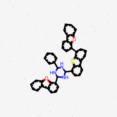 c1ccc(C2NC(c3cccc4c3oc3ccccc34)NC(c3cccc4c3sc3c(-c5cccc6c5oc5ccccc56)cccc34)N2)cc1